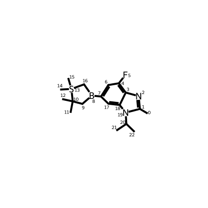 Cc1nc2c(F)cc(B3CC(C)(C)S(C)(C)C3)cc2n1C(C)C